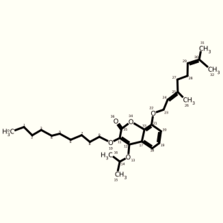 CCCCCCCCCCOc1c(OC(C)C)c2cccc(OC/C=C(\C)CCC=C(C)C)c2oc1=O